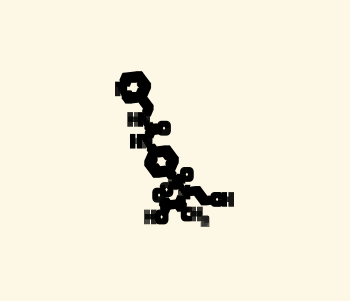 C=C(C(=O)O)N(CCO)S(=O)(=O)c1ccc(NC(=O)NCc2cccnc2)cc1